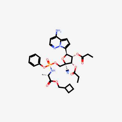 CCC(=O)O[C@H]1[C@H](c2ccc3c(N)ccnn23)O[C@](C#N)(CO[P@](=O)(N[C@@H](C)C(=O)OCC2CCC2)Oc2ccccc2)[C@H]1OC(=O)CC